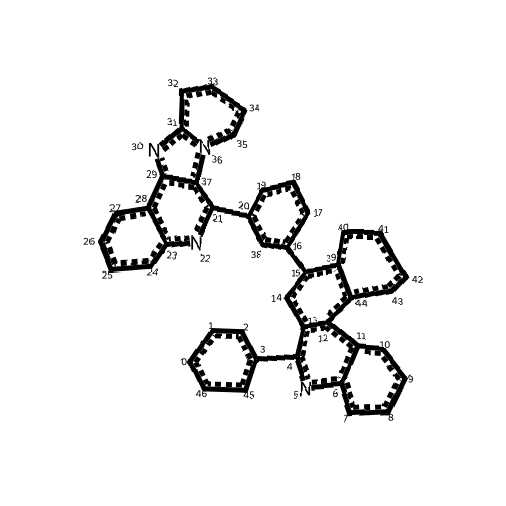 c1ccc(-c2nc3ccccc3c3c2cc(-c2cccc(-c4nc5ccccc5c5nc6ccccn6c45)c2)c2ccccc23)cc1